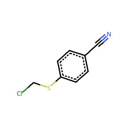 N#Cc1ccc(SCCl)cc1